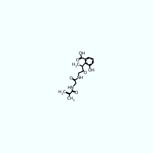 C=C(C)C(=O)NCC(=O)NCC(=O)C(C)c1c(O)cccc1C(=O)O